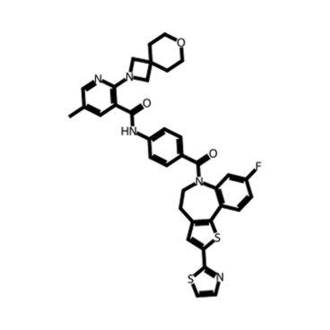 Cc1cnc(N2CC3(CCOCC3)C2)c(C(=O)Nc2ccc(C(=O)N3CCc4cc(-c5nccs5)sc4-c4ccc(F)cc43)cc2)c1